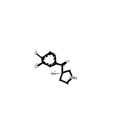 CCC[C@@]1(C(=O)c2ccc(Cl)c(Cl)c2)CCNC1